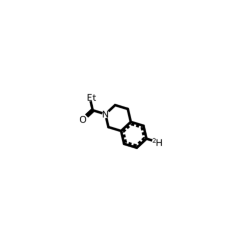 [2H]c1ccc2c(c1)CCN(C(=O)CC)C2